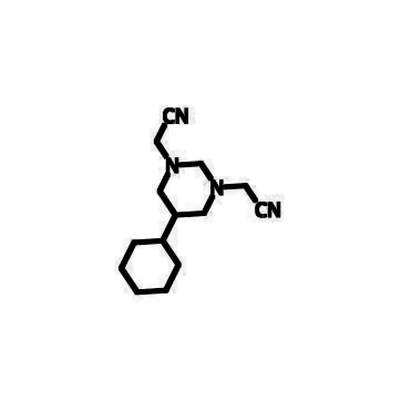 N#CCN1CC(C2CCCCC2)CN(CC#N)C1